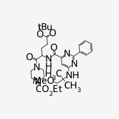 CCOC(=O)N1CCN(C(=O)C(CCC(=O)OC(C)(C)C)NC(=O)c2cc(NC(C)(C)COC)nc(-c3ccccc3)n2)CC1